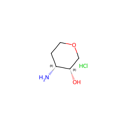 Cl.N[C@@H]1CCOC[C@@H]1O